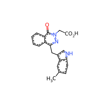 Cc1ccc2[nH]cc(Cc3nn(CC(=O)O)c(=O)c4ccccc34)c2c1